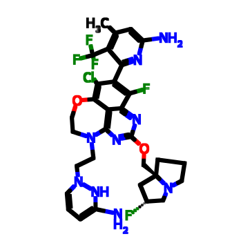 Cc1cc(N)nc(-c2c(Cl)c3c4c(nc(OC[C@@]56CCCN5C[C@H](F)C6)nc4c2F)N(CCN2C=CC=C(N)N2)CCO3)c1C(F)(F)F